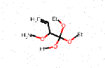 C=CC(O[SiH3])C(OCC)(OCC)OCC